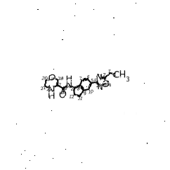 CCc1nc(-c2ccc3c(c2)CC[C@H]3NC(=O)C2COCCN2)no1